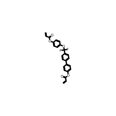 C=CC(=O)Oc1ccc(OC(F)(F)c2ccc(-c3ccc(OC(=O)C=C)cc3)cc2)cc1